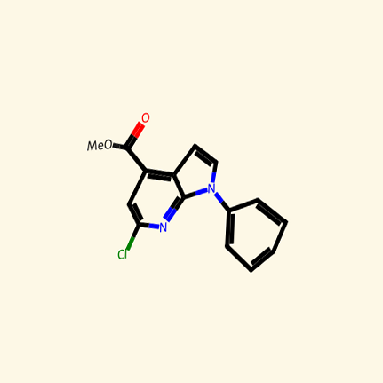 COC(=O)c1cc(Cl)nc2c1ccn2-c1ccccc1